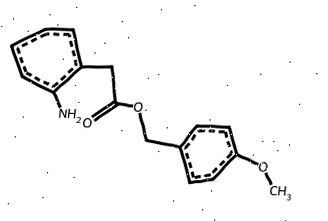 COc1ccc(COC(=O)Cc2ccccc2N)cc1